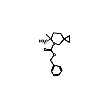 C[C@@]1(C(=O)O)CCC2(CC2)CN1C(=O)OCc1ccccc1